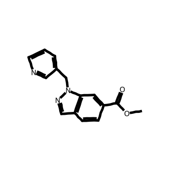 COC(=O)c1ccc2cnn(Cc3cccnc3)c2c1